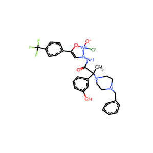 CC(C(=O)NN1C=C(c2ccc(C(F)(F)F)cc2)O[N+]1([O-])Cl)(c1cccc(O)c1)N1CCN(Cc2ccccc2)CC1